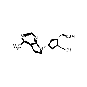 Cc1ncnc2c1ccn2[C@@H]1C[C@H](CO)[C@@H](O)C1